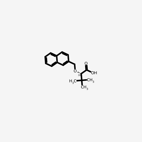 CC(C)(C)[C@H](OCc1ccc2ccccc2c1)C(=O)O